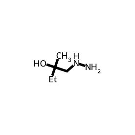 CCC(C)(O)CNN